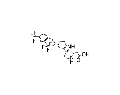 O=C(O)CC1NCCc2c1[nH]c1ccc(OCc3ccc(C(F)(F)F)cc3C(F)(F)F)cc21